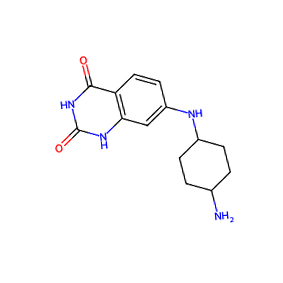 NC1CCC(Nc2ccc3c(=O)[nH]c(=O)[nH]c3c2)CC1